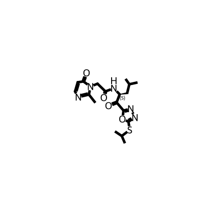 Cc1nccc(=O)n1CC(=O)N[C@@H](CC(C)C)C(=O)c1nnc(SC(C)C)o1